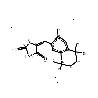 Cc1cc2c(cc1/C=C1/SC(=O)NC1=O)C(C)(C)CCC2(C)C